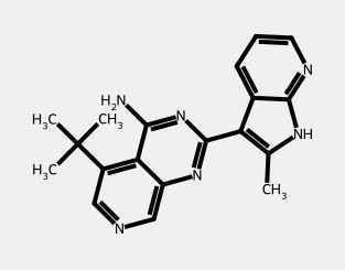 Cc1[nH]c2ncccc2c1-c1nc(N)c2c(C(C)(C)C)cncc2n1